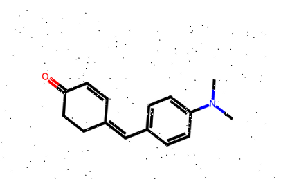 CN(C)c1ccc(C=C2[C]=CC(=O)CC2)cc1